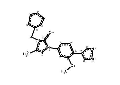 COc1cc(-n2nc(C)n(Cc3ccccc3)c2=O)ccc1-c1cn[nH]c1